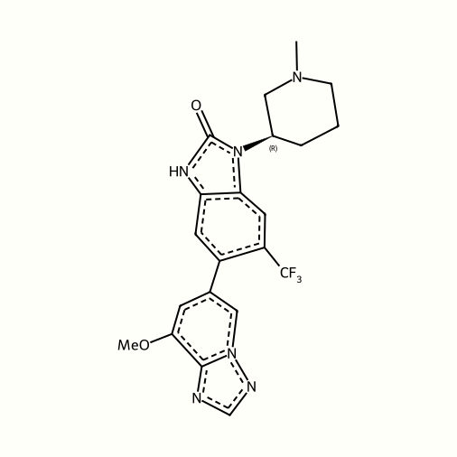 COc1cc(-c2cc3[nH]c(=O)n([C@@H]4CCCN(C)C4)c3cc2C(F)(F)F)cn2ncnc12